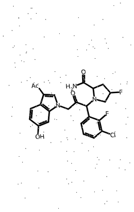 CC(=O)c1cn(CC(=O)C(c2cccc(Cl)c2F)N2CC(F)CC2C(N)=O)c2cc(O)ccc12